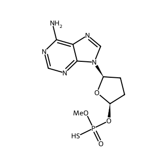 COP(=O)(S)O[C@@H]1CC[C@H](n2cnc3c(N)ncnc32)O1